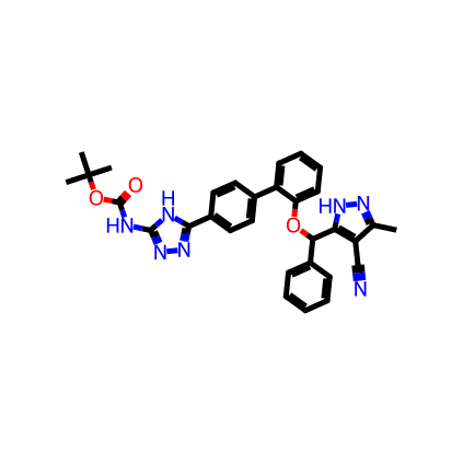 Cc1n[nH]c(C(Oc2ccccc2-c2ccc(-c3nnc(NC(=O)OC(C)(C)C)[nH]3)cc2)c2ccccc2)c1C#N